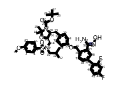 COc1ccc(S(=O)(=O)N(CC(C)C)C[C@H]2OC(C)(C)N(C(=O)OC(C)(C)C)[C@H]2Cc2ccc(OCc3ccc(-c4ccc(F)cc4F)cc3/C(N)=N/O)cc2)cc1